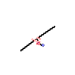 CCCCCCCCCCCCCCCC(=O)O[C@H](COC(=O)CCCCCCCCCCCCC)COP(=O)([O-])OCC[N+](C)(C)C